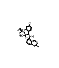 C=C(C)CC(O)(C(Nc1cccc2nc(C)ncc12)c1ccc(Cl)cc1OC)C(F)(F)F